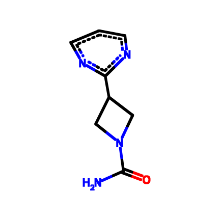 NC(=O)N1CC(c2ncccn2)C1